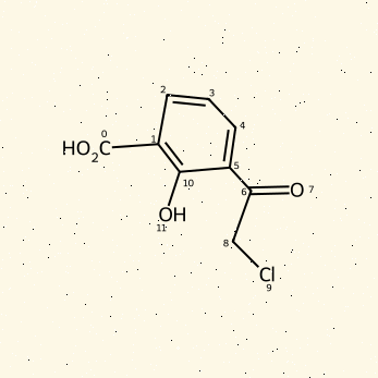 O=C(O)c1cccc(C(=O)CCl)c1O